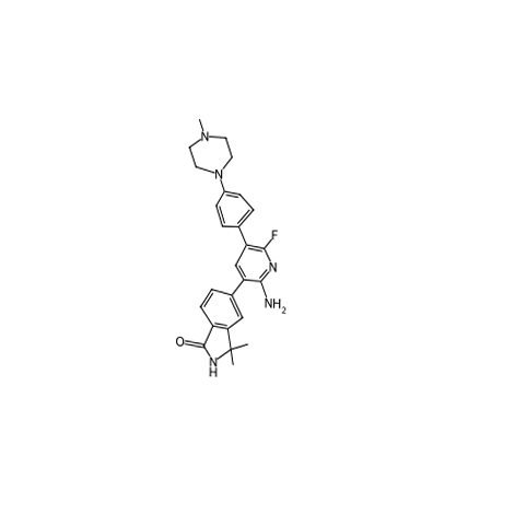 CN1CCN(c2ccc(-c3cc(-c4ccc5c(c4)C(C)(C)NC5=O)c(N)nc3F)cc2)CC1